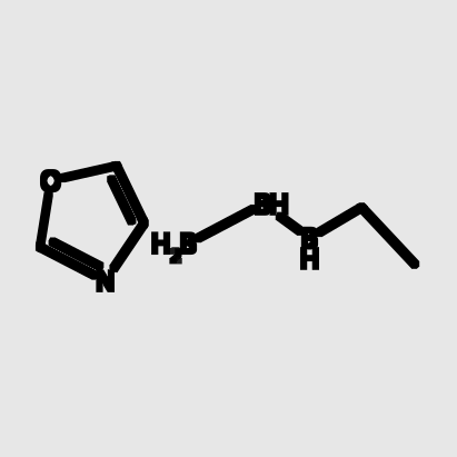 BBBCC.c1cocn1